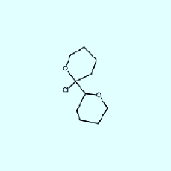 ClC1([C]2CCCCO2)CCCCO1